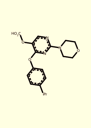 CC(C)c1ccc(Oc2nc(N3CCOCC3)ncc2OC(=O)O)cc1